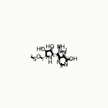 CSOC[C@H]1N[C@@H](c2c3ncnc(O)c3nn2N)[C@H](O)[C@@H]1O